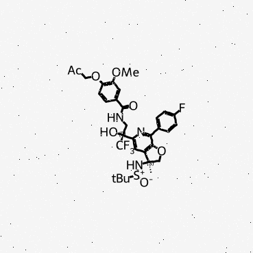 COc1cc(C(=O)NC[C@@](O)(c2cc3c(c(-c4ccc(F)cc4)n2)OC[C@@]3(C)N[S+]([O-])C(C)(C)C)C(F)(F)F)ccc1OCC(C)=O